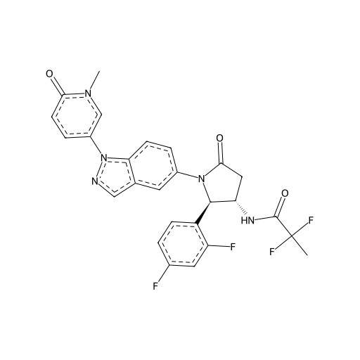 Cn1cc(-n2ncc3cc(N4C(=O)C[C@H](NC(=O)C(C)(F)F)[C@H]4c4ccc(F)cc4F)ccc32)ccc1=O